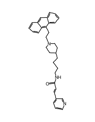 O=C(C=Cc1cccnc1)NCCCCC1CCN(CCc2c3ccccc3cc3ccccc23)CC1